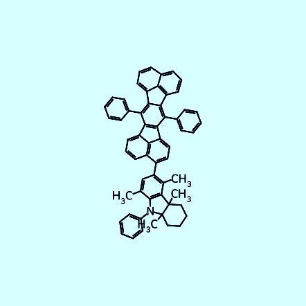 Cc1cc(-c2ccc3c4c(-c5ccccc5)c5c6cccc7cccc(c5c(-c5ccccc5)c4c4cccc2c43)c76)c(C)c2c1N(c1ccccc1)C1(C)CCCCC21C